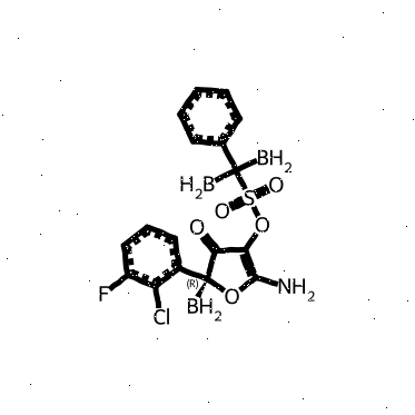 BC(B)(c1ccccc1)S(=O)(=O)OC1=C(N)O[C@](B)(c2cccc(F)c2Cl)C1=O